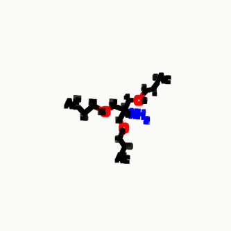 CC(=O)CCOCC(N)(COCCC(C)=O)COCCC(C)=O